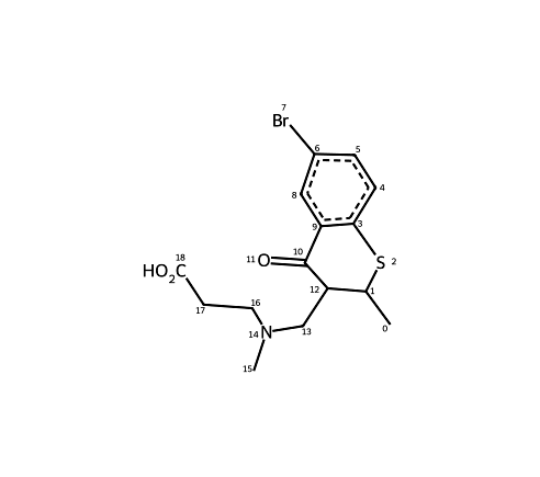 CC1Sc2ccc(Br)cc2C(=O)C1CN(C)CCC(=O)O